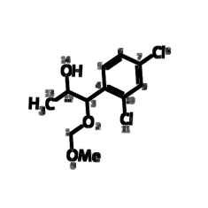 COCOC(c1ccc(Cl)cc1Cl)C(C)O